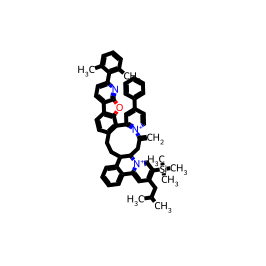 C=C1CC2C(CCc3ccc4c(oc5nc(-c6c(C)cccc6C)ccc54)c3-c3cc(-c4ccccc4)cc[n+]31)c1ccccc1-c1cc(CC(C)C)c([Si](C)(C)C)c[n+]12